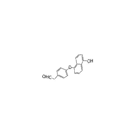 O=CCc1ccc(Oc2cccc3c(O)cccc23)cc1